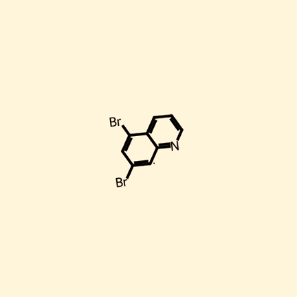 Brc1[c]c2ncccc2c(Br)c1